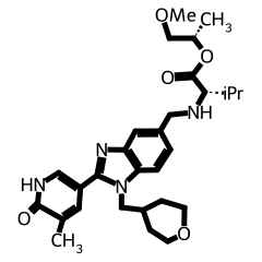 COC[C@H](C)OC(=O)[C@@H](NCc1ccc2c(c1)nc(-c1c[nH]c(=O)c(C)c1)n2CC1CCOCC1)C(C)C